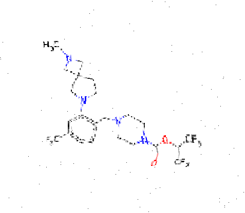 CN1CC2(CCN(c3cc(C(F)(F)F)ccc3CN3CCN(C(=O)OC(C(F)(F)F)C(F)(F)F)CC3)C2)C1